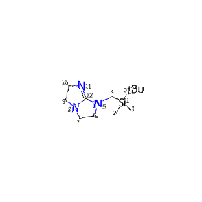 CC(C)(C)[Si](C)(C)CN1CCN2CCN=C21